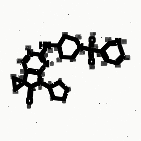 O=C1N(C2CCCC2)c2nc(NC3CCN(S(=O)(=O)c4cccnc4)CC3)ncc2C12CC2